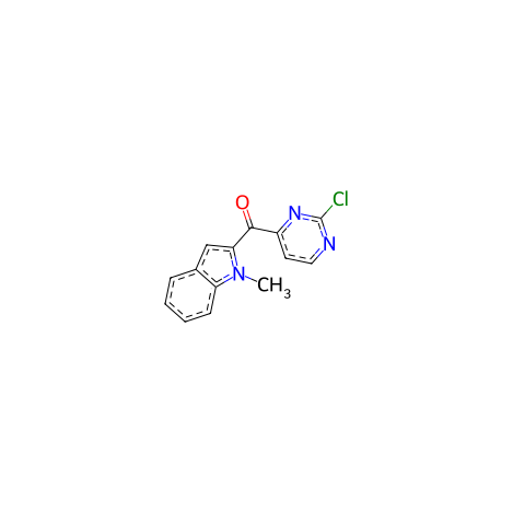 Cn1c(C(=O)c2ccnc(Cl)n2)cc2ccccc21